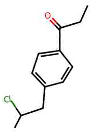 CCC(=O)c1ccc(CC(C)Cl)cc1